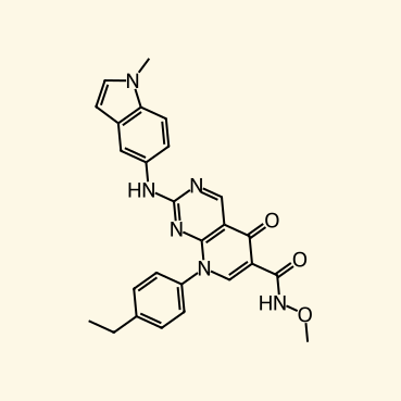 CCc1ccc(-n2cc(C(=O)NOC)c(=O)c3cnc(Nc4ccc5c(ccn5C)c4)nc32)cc1